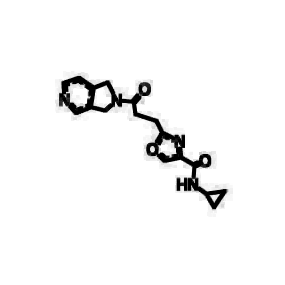 O=C(NC1CC1)c1coc(CCC(=O)N2Cc3ccncc3C2)n1